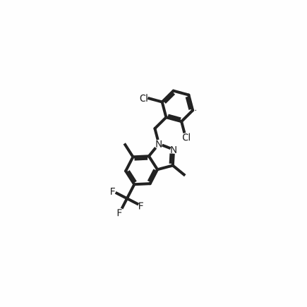 Cc1nn(Cc2c(Cl)[c]ccc2Cl)c2c(C)cc(C(F)(F)F)cc12